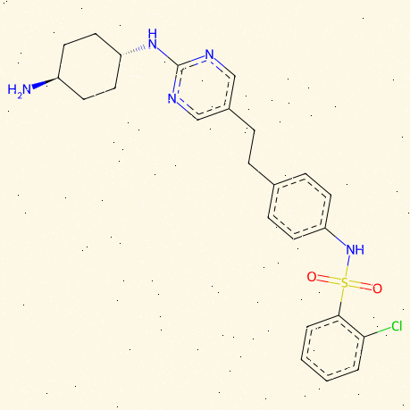 N[C@H]1CC[C@H](Nc2ncc(CCc3ccc(NS(=O)(=O)c4ccccc4Cl)cc3)cn2)CC1